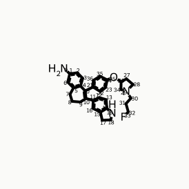 Nc1ccc2c(c1)CCCC(c1ccc3c(c1)CCN3)=C2c1ccc(OC2CCN(CCCF)C2)cc1